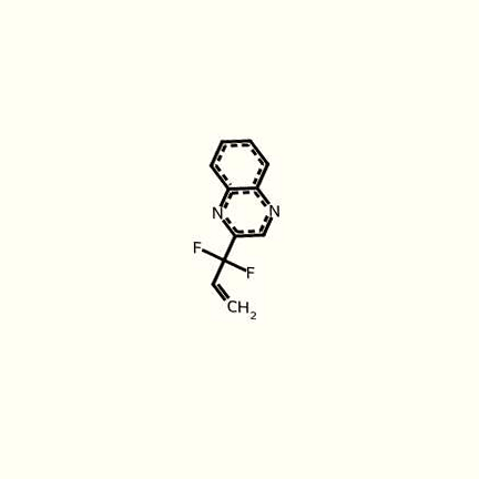 C=CC(F)(F)c1cnc2ccccc2n1